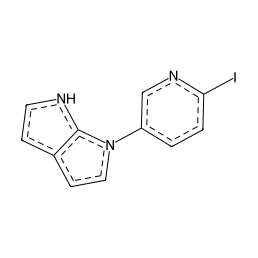 Ic1ccc(-n2ccc3cc[nH]c32)cn1